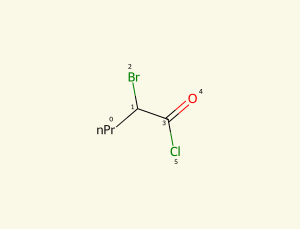 CCCC(Br)C(=O)Cl